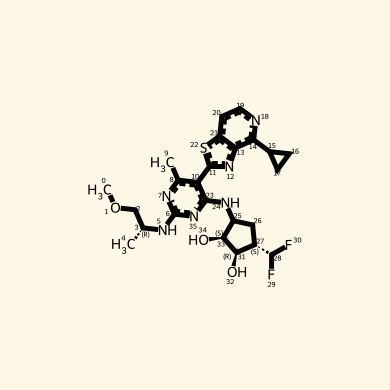 COC[C@@H](C)Nc1nc(C)c(-c2nc3c(C4CC4)nccc3s2)c(NC2C[C@H](C(F)F)[C@@H](O)[C@H]2O)n1